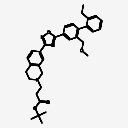 CCc1ccccc1-c1ccc(-c2nc(-c3ccc4c(c3)CN(CCC(=O)OC(C)(C)C)CC4)no2)cc1COC